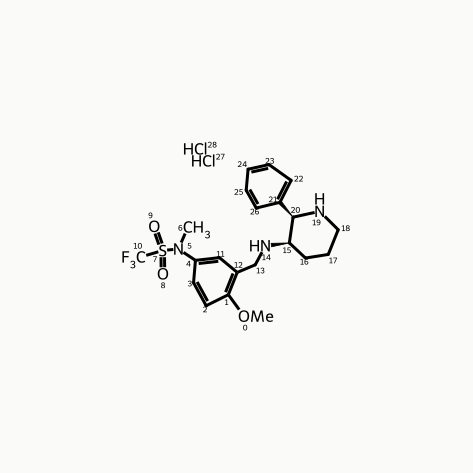 COc1ccc(N(C)S(=O)(=O)C(F)(F)F)cc1CN[C@@H]1CCCN[C@@H]1c1ccccc1.Cl.Cl